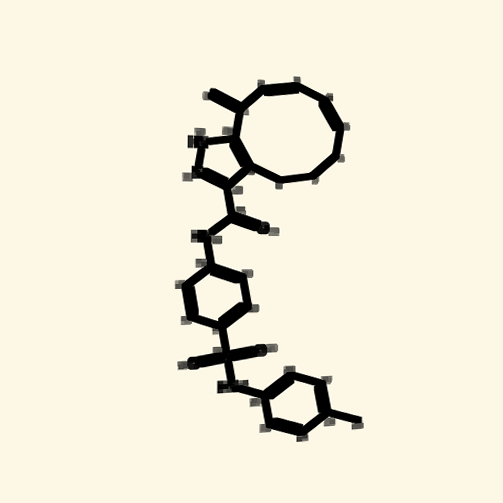 C=C1/C=C\C=C/CCCc2c(C(=O)Nc3ccc(S(=O)(=O)Nc4ccc(C)cc4)cc3)n[nH]c21